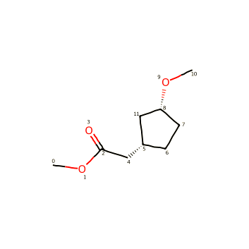 COC(=O)C[C@H]1CC[C@@H](OC)C1